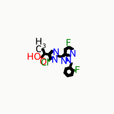 CCC(C(=O)O)c1cnc(-c2nn(Cc3ccccc3F)c3ncc(F)cc23)nc1Cl